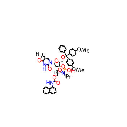 COc1ccc(C(OC[C@H]2O[C@@H](n3cc(C)c(=O)[nH]c3=O)C[C@]2(OCCOC(=O)Nc2cccc3ccccc23)OP(O)N(C(C)C)C(C)C)(c2ccccc2)c2ccc(OC)cc2)cc1